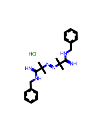 CC(C)(N=NC(C)(C)C(=N)NCc1ccccc1)C(=N)NCc1ccccc1.Cl